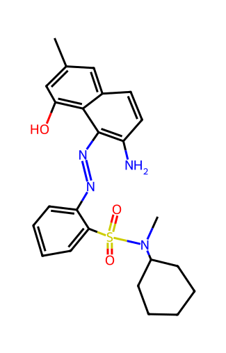 Cc1cc(O)c2c(/N=N/c3ccccc3S(=O)(=O)N(C)C3CCCCC3)c(N)ccc2c1